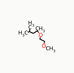 COCCO[C@H](C)CC(C)C